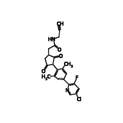 C#CCNC(=O)CC1CC(=O)C(c2c(C)cc(-c3ncc(Cl)cc3F)cc2C)C1=O